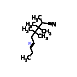 CC/C=C/CC(C)(C)C(C)(C)C(C)C#N